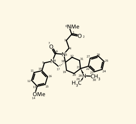 CNC(=O)CCN1C(=O)N(Cc2ccc(OC)cc2)C[C@]12CC[C@](c1ccccc1)(N(C)C)CC2